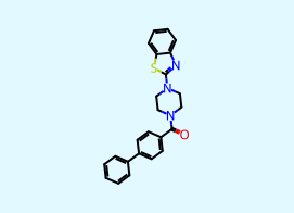 O=C(c1ccc(-c2ccccc2)cc1)N1CCN(c2nc3ccccc3s2)CC1